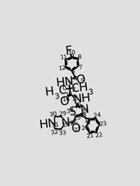 CC(C)(NC(=O)c1ccc(F)cc1)C(=O)Nc1nc(-c2ccccc2)c(C(=O)N2CCNCC2)s1